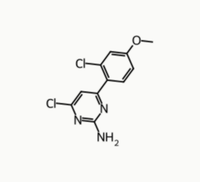 COc1ccc(-c2cc(Cl)nc(N)n2)c(Cl)c1